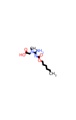 CCCCCCOC(=O)/N=C(\N)N(C)CC(=O)O